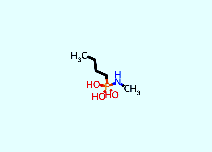 CCCCP(O)(O)(O)NC